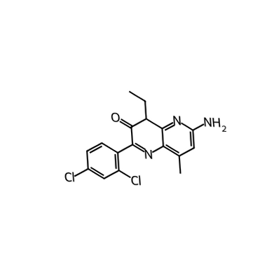 CCC1C(=O)C(c2ccc(Cl)cc2Cl)=Nc2c(C)cc(N)nc21